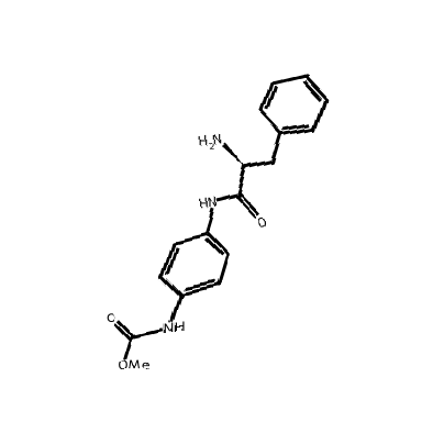 COC(=O)Nc1ccc(NC(=O)[C@@H](N)Cc2ccccc2)cc1